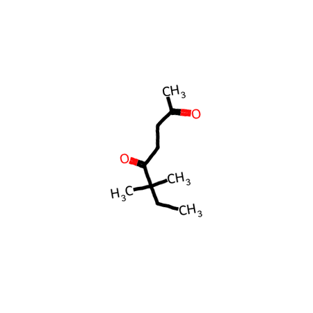 CCC(C)(C)C(=O)CCC(C)=O